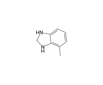 Cc1cccc2c1NCN2